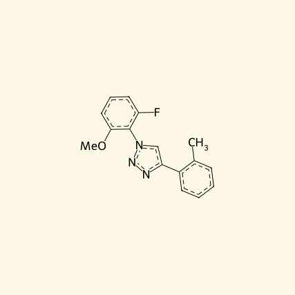 COc1cccc(F)c1-n1cc(-c2ccccc2C)nn1